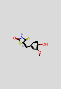 COc1cc(/C=C2/SC(=O)NC2=S)ccc1O